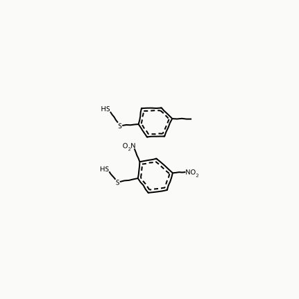 Cc1ccc(SS)cc1.O=[N+]([O-])c1ccc(SS)c([N+](=O)[O-])c1